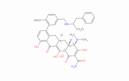 CCOC(=O)C(Cc1ccccc1)NCc1ccc(OC)c(-c2ccc(O)c3c2C[C@H]2C[C@@H]4[C@@H](N(C)C)C(O)=C(C(N)=O)C(=O)[C@@]4(O)C(O)=C2C3=O)c1